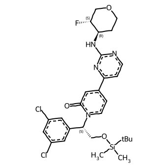 CC(C)(C)[Si](C)(C)OC[C@H](c1cc(Cl)cc(Cl)c1)n1ccc(-c2ccnc(N[C@@H]3CCOC[C@H]3F)n2)cc1=O